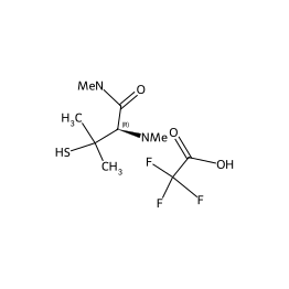 CNC(=O)[C@@H](NC)C(C)(C)S.O=C(O)C(F)(F)F